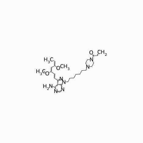 C=CC(=O)N1CCN(CCCCCCCn2nc(/C=C/C(=C\C(=C/C)OC)OC)c3c(N)ncnc32)CC1